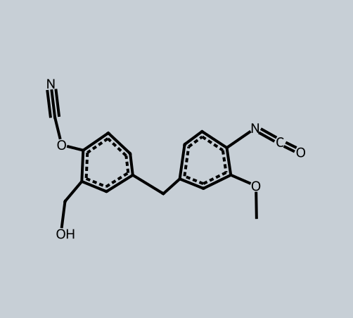 COc1cc(Cc2ccc(OC#N)c(CO)c2)ccc1N=C=O